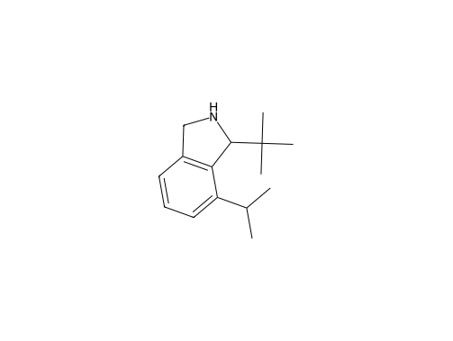 CC(C)c1cccc2c1C(C(C)(C)C)NC2